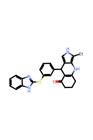 CCc1[nH]cc2c1NC1=C(C(=O)CCC1)C2c1cccc(Sc2nc3ccccc3[nH]2)c1